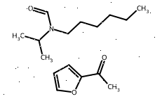 CC(=O)c1ccco1.CCCCCCN(C=O)C(C)C